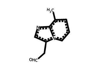 Cc1cccn2c(CC=O)cnc12